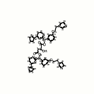 O=C(CC(O)C(=O)ON(c1cccc(OCCn2ccnc2)c1)c1nccc(-c2cccs2)n1)ON(c1cccc(OCCn2ccnc2)c1)c1nccc(-c2cccs2)n1